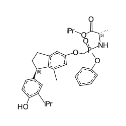 Cc1cc(OCP(=O)(N[C@@H](C)C(=O)OC(C)C)Oc2ccccc2)cc2c1[C@@H](c1ccc(O)c(C(C)C)c1)CC2